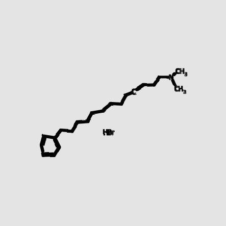 Br.CN(C)CCCCCCCCCCCCCc1ccccc1